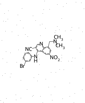 CN(C)Cc1cc([N+](=O)[O-])cc2c(Nc3cccc(Br)c3)c(C#N)cnc12